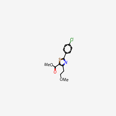 COCCc1nc(-c2ccc(Cl)cc2)sc1C(=O)OC